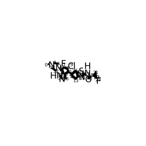 CN1CCN(c2c(F)c(Cl)c(-c3ccc4nc(NC(=O)[C@@H]5C[C@@H]5F)sc4c3)c3cn[nH]c23)CC1